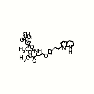 COC(=O)[C@H](CCO[C@H]1C[C@H](CCc2ccc3c(n2)NCCC3)C1)NC(=O)OC1(C)CN(S(C)(=O)=O)C1